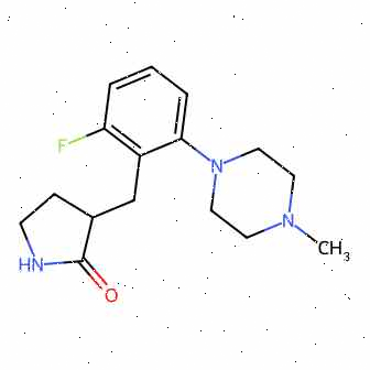 CN1CCN(c2cccc(F)c2CC2CCNC2=O)CC1